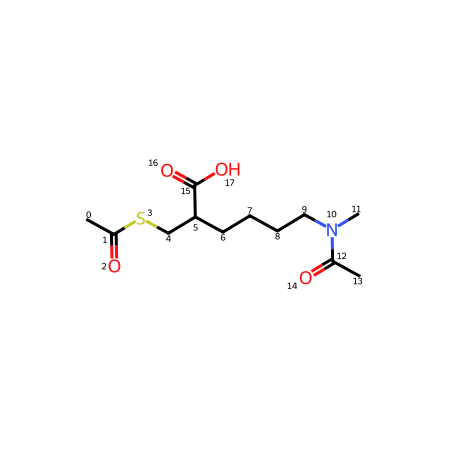 CC(=O)SCC(CCCCN(C)C(C)=O)C(=O)O